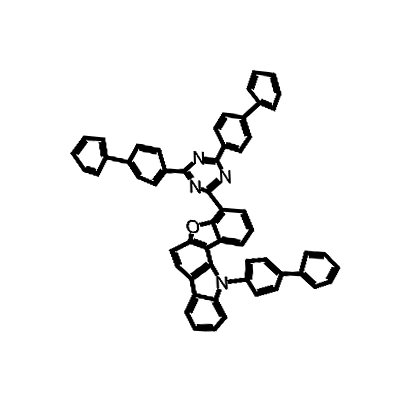 c1ccc(-c2ccc(-c3nc(-c4ccc(-c5ccccc5)cc4)nc(-c4cccc5c4oc4ccc6c7ccccc7n(-c7ccc(-c8ccccc8)cc7)c6c45)n3)cc2)cc1